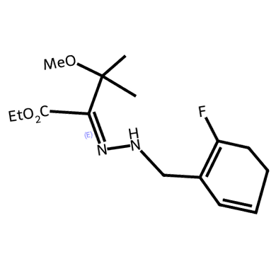 CCOC(=O)/C(=N/NCC1=C(F)CCC=C1)C(C)(C)OC